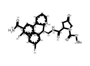 CC(C)(C)OC(=O)N1CC(=O)CC1C(=O)NC[C@@H](c1cc(F)cc(F)c1)c1ncccc1-c1ccc(F)c(C(N)=O)c1